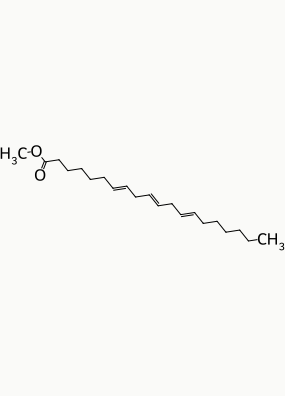 CCCCCCC=CCC=CCC=CCCCCCC(=O)OC